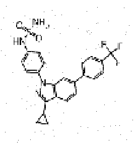 NS(=O)(=O)Nc1ccc(-n2nc(C3CC3)c3ccc(-c4ccc(C(F)(F)F)cc4)cc32)cc1